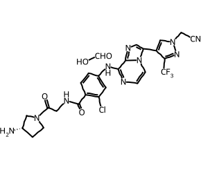 N#CCn1cc(-c2cnc3c(Nc4ccc(C(=O)NCC(=O)N5CC[C@H](N)C5)c(Cl)c4)nccn23)c(C(F)(F)F)n1.O=CO